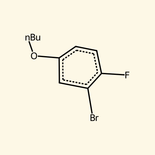 CCCCOc1ccc(F)c(Br)c1